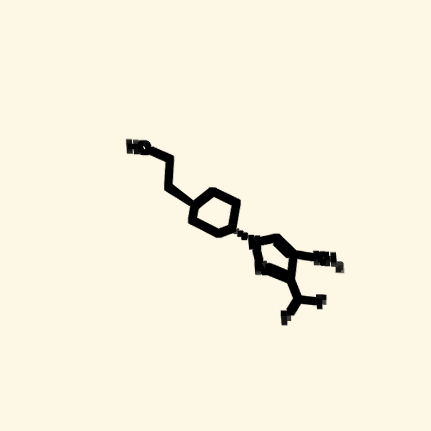 Nc1cn([C@H]2CC[C@H](CCO)CC2)nc1C(F)F